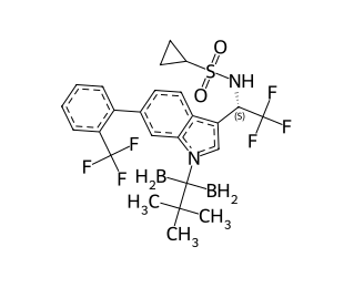 BC(B)(n1cc([C@H](NS(=O)(=O)C2CC2)C(F)(F)F)c2ccc(-c3ccccc3C(F)(F)F)cc21)C(C)(C)C